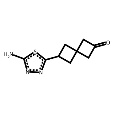 Nc1nnc(C2CC3(CC(=O)C3)C2)s1